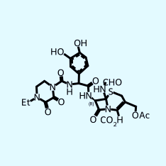 CCN1CCN(C(=O)NC(C(=O)N[C@@H]2C(=O)N3C(C(=O)O)=C(COC(C)=O)CSC23NC=O)c2ccc(O)c(O)c2)C(=O)C1=O